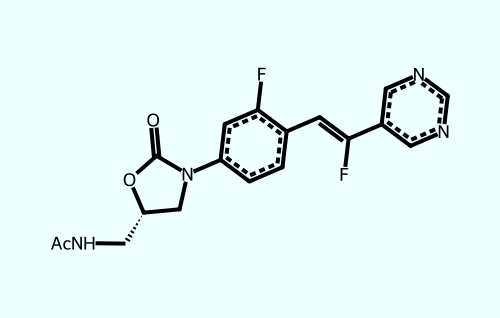 CC(=O)NC[C@H]1CN(c2ccc(/C=C(\F)c3cncnc3)c(F)c2)C(=O)O1